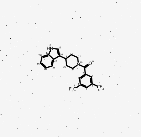 O=C(c1cc(C(F)(F)F)cc(C(F)(F)F)c1)N1CCC(c2c[nH]c3ccccc23)CC1